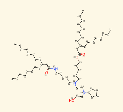 CCCCCCCCC(CCCCCCCC)CC(=O)NCCCCCN(CCCCCOC(=O)CC(CCCCCCCC)CCCCCCCC)CCN(CCO)C1CCCC1